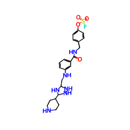 O=C(NCc1ccc(OS(=O)(=O)F)cc1)c1cccc(NCC2NNC(C3CCNCC3)N2)c1